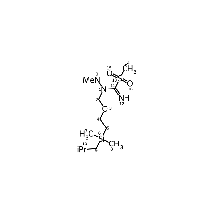 CNN(COCC[Si](C)(C)CC(C)C)C(=N)S(C)(=O)=O